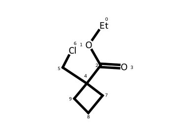 CCOC(=O)C1(CCl)CCC1